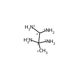 CC(N)(N)[C](N)N